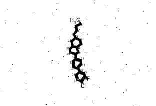 CCCCCC1CCC2CC(c3ccc(-c4ccc(Cl)c(F)c4)cc3)CCC2C1